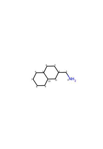 NCC1CCC2CCCCC2C1